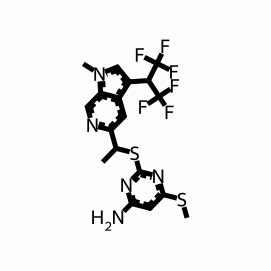 CSc1cc(N)nc(SC(C)c2cc3c(C(C(F)(F)F)C(F)(F)F)cn(C)c3cn2)n1